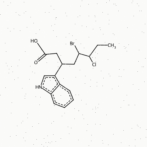 CCC(Cl)C(Br)CC(CC(=O)O)c1c[nH]c2ccccc12